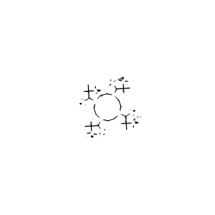 CC(O)(C(N1CCN(C(C(C)(O)P(=O)(O)O)P(=O)(O)O)CCN(C(C(C)(O)P(=O)(O)O)P(=O)(O)O)CCN(C(C(C)(O)P(=O)(O)O)P(=O)(O)O)CC1)P(=O)(O)O)P(=O)(O)O